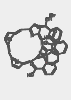 O=C(O)c1ccccc1-c1c(-c2ccccc2C(=O)O)c2c(-c3ccccc3C(=O)O)c3nc(cc4ccc(cc5nc(cc1n2-c1ccccc1C(=O)O)C=C5)[nH]4)C=C3.[Rh]